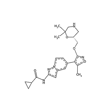 Cc1onc(OC[C@H]2CNCC(C)(C)O2)c1-c1ccn2nc(NC(=O)C3CC3)cc2c1